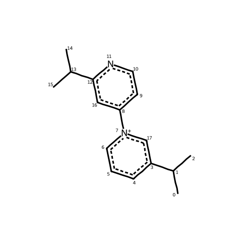 CC(C)c1ccc[n+](-c2ccnc(C(C)C)c2)c1